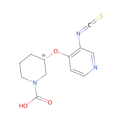 O=C(O)N1CCC[C@H](Oc2ccncc2N=C=S)C1